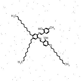 CCCCCCCCCCCc1cc(/N=C/c2ccc(C)cc2O)c(/N=C/c2ccc(OCCCCCCCCCC)cc2O)cc1CCCCCCCCCCC